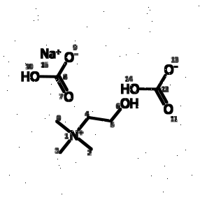 C[N+](C)(C)CCO.O=C([O-])O.O=C([O-])O.[Na+]